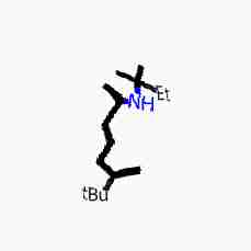 C=C(CCCC(=C)C(C)(C)C)NC(C)(C)CC